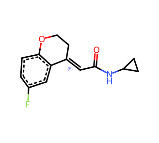 O=C(/C=C1\CCOc2ccc(F)cc21)NC1CC1